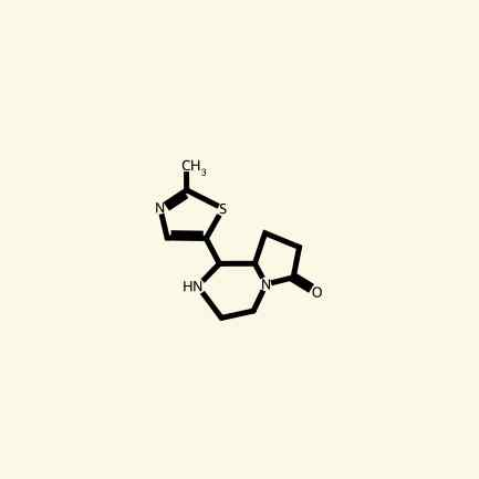 Cc1ncc(C2NCCN3C(=O)CCC23)s1